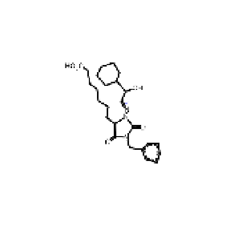 O=C(O)CCCCCCC1C(=O)N(Cc2ccccc2)C(=O)N1/N=C/C(O)C1CCCCC1